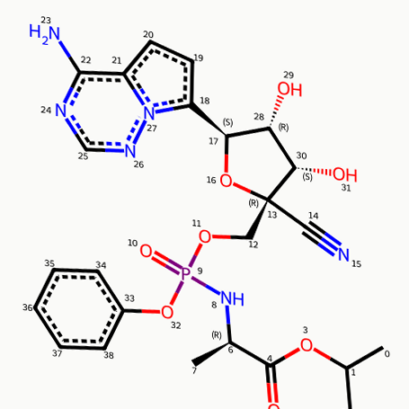 CC(C)OC(=O)[C@@H](C)NP(=O)(OC[C@@]1(C#N)O[C@@H](c2ccc3c(N)ncnn23)[C@H](O)[C@@H]1O)Oc1ccccc1